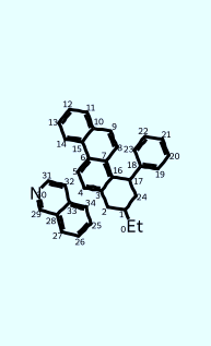 CCC1Cc2ccc3c(ccc4ccccc43)c2C(c2ccccc2)C1.c1ccc2cnccc2c1